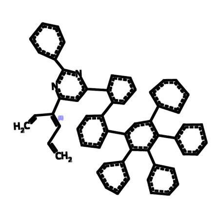 C=C/C=C(\C=C)c1cc(-c2ccccc2-c2ccccc2-c2cc(-c3ccccc3)c(-c3ccccc3)c(-c3ccccc3)c2-c2ccccc2)nc(-c2ccccc2)n1